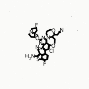 N#CCC1OCCCN2c3nc(OC[C@@]45CCCN4C[C@H](F)C5)nc4c(F)c(-c5ccc(F)c6sc(N)c(C#N)c56)c(Cl)c(c34)OCCC12